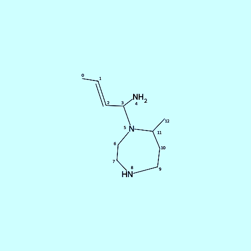 CC=CC(N)N1CCNCCC1C